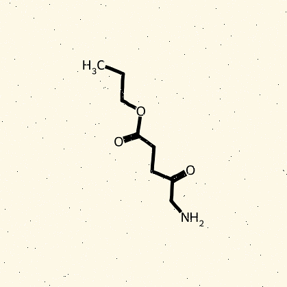 CCCOC(=O)CCC(=O)CN